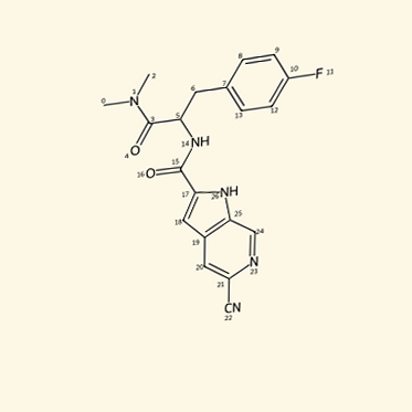 CN(C)C(=O)C(Cc1ccc(F)cc1)NC(=O)c1cc2cc(C#N)ncc2[nH]1